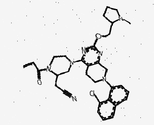 C=CC(=O)N1CCN(c2nc(OCC3CCCN3C)nc3c2CCN(c2cccc4cccc(Cl)c24)C3)CC1CC#N